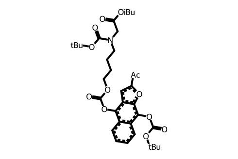 CC(=O)c1cc2c(OC(=O)OCCCCN(CC(=O)OCC(C)C)C(=O)OC(C)(C)C)c3ccccc3c(OC(=O)OC(C)(C)C)c2o1